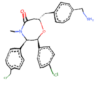 CN1C(=O)[C@H](Cc2ccc(CN)cc2)O[C@@H](c2ccc(Cl)cc2)[C@H]1c1ccc(Cl)cc1